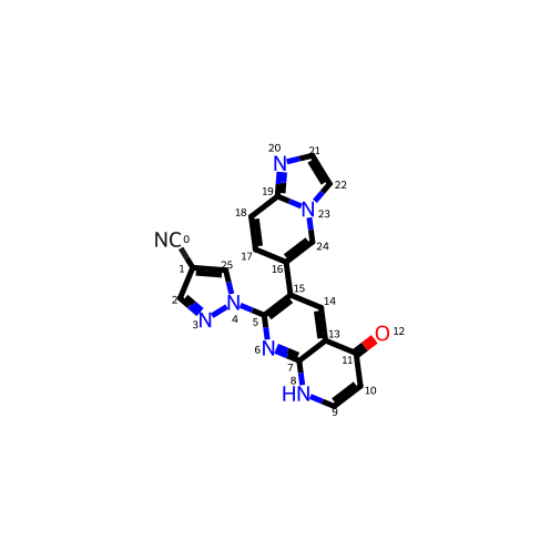 N#Cc1cnn(-c2nc3[nH]ccc(=O)c3cc2-c2ccc3nccn3c2)c1